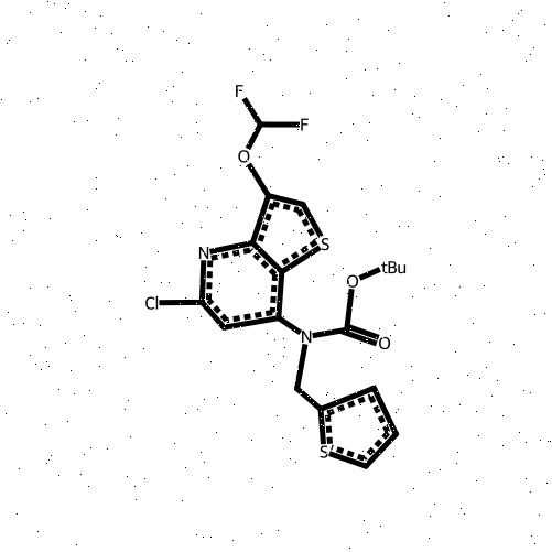 CC(C)(C)OC(=O)N(Cc1cccs1)c1cc(Cl)nc2c(OC(F)F)csc12